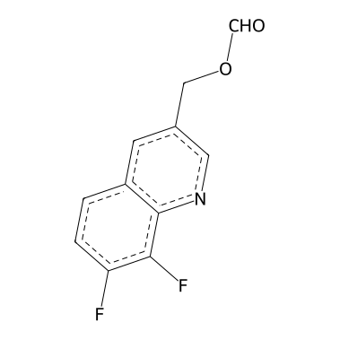 O=COCc1cnc2c(F)c(F)ccc2c1